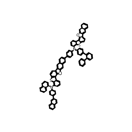 c1ccc(-c2ccccc2-c2ccc(N(c3ccc(-c4ccc5cc6c(cc5c4)oc4c6ccc5sc6c(N(c7ccc(-c8ccc9ccccc9c8)cc7)c7cccc8ccccc78)cccc6c54)cc3)c3cccc4c3sc3ccc5c6cc7ccccc7cc6oc5c34)cc2)cc1